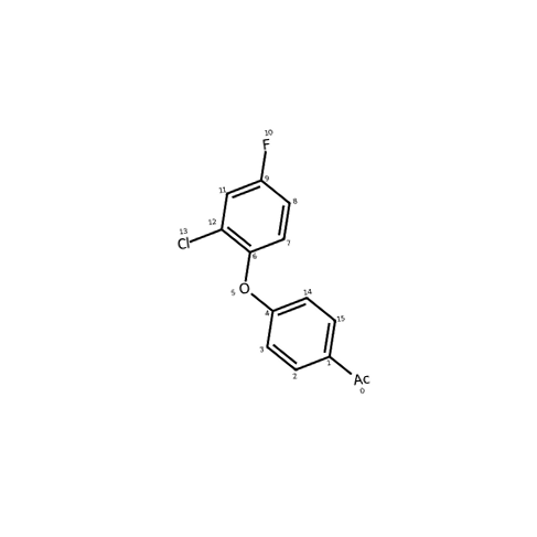 CC(=O)c1ccc(Oc2ccc(F)cc2Cl)cc1